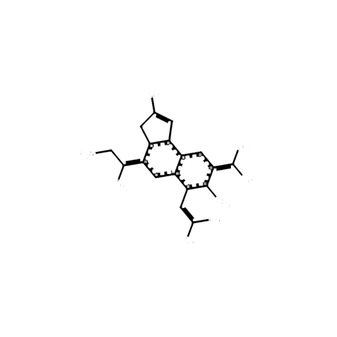 B/C(C)=C/c1c(C)c(=C(C)C)cc2c3c(/c(=C(/C)CN)cc12)CC(C)=C3